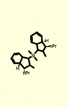 CCC[C@H]1C(C)C([Si](C)(C)C2C3C=CC=C[C@H]3[C@@H](CCC)C2C)C2C=CC=C[C@H]21